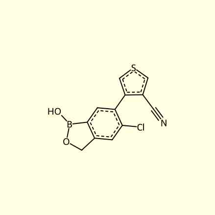 N#Cc1cscc1-c1cc2c(cc1Cl)COB2O